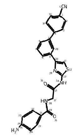 N#Cc1ccc(-c2cccc(-c3csc(NC(=O)CNC(=O)c4ccc(N)cc4)n3)c2)cc1